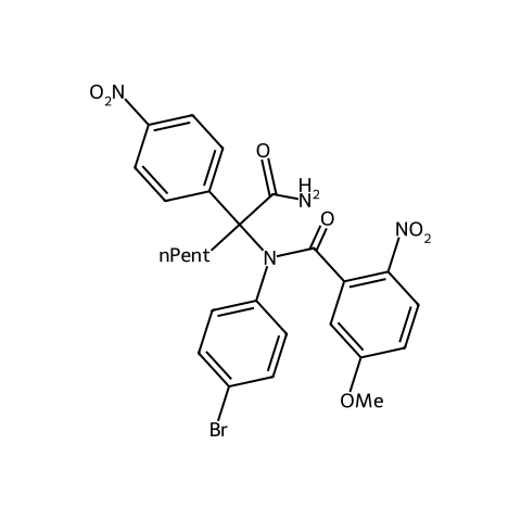 CCCCCC(C(N)=O)(c1ccc([N+](=O)[O-])cc1)N(C(=O)c1cc(OC)ccc1[N+](=O)[O-])c1ccc(Br)cc1